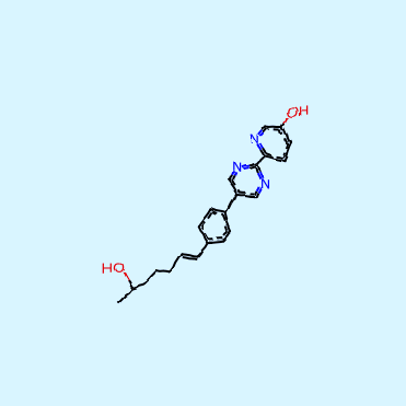 CC(O)CCC/C=C/c1ccc(-c2cnc(-c3ccc(O)cn3)nc2)cc1